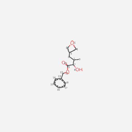 CC(CC1COC1)C(O)C(=O)OCc1ccccc1